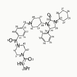 CCCNC(=O)N1CCN(C(=O)c2ccc(CN3CCC(N4C(=O)N(C5CCCCC5)C[C@H]4c4ccccc4)CC3)cc2)CC1